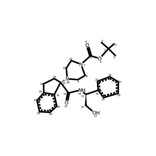 CC(C)(C)OC(=O)N1CCN([C@@]2(C(=O)N[C@H](CO)c3ccccc3)CCc3ccccc32)CC1